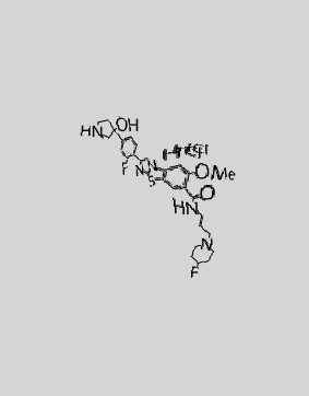 COc1cc2c(cc1C(=O)NCCCN1CCC(F)CC1)sc1nc(-c3ccc(C4(O)CCNC4)cc3F)cn12.Cl.Cl